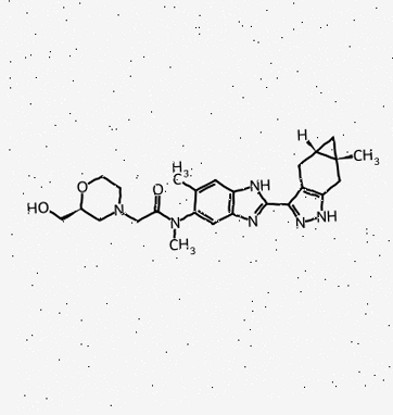 Cc1cc2[nH]c(-c3n[nH]c4c3C[C@@H]3C[C@]3(C)C4)nc2cc1N(C)C(=O)CN1CCO[C@H](CO)C1